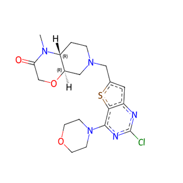 CN1C(=O)CO[C@@H]2CN(Cc3cc4nc(Cl)nc(N5CCOCC5)c4s3)CC[C@H]21